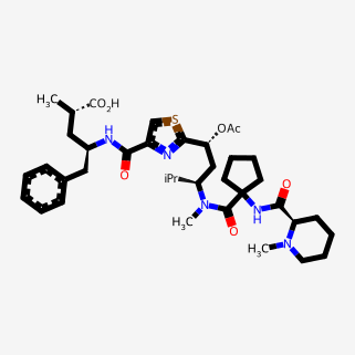 CC(=O)O[C@H](C[C@H](C(C)C)N(C)C(=O)C1(NC(=O)[C@H]2CCCCN2C)CCCC1)c1nc(C(=O)N[C@@H](Cc2ccccc2)C[C@H](C)C(=O)O)cs1